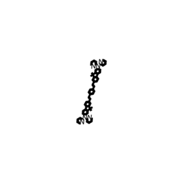 CC1(C)c2cc(/C=C/c3ccc(/C=C/c4ccc5c(c4)C(C)(C)c4cc(N(c6ccccn6)c6ccccn6)ccc4-5)cc3)ccc2-c2ccc(N(c3ccccn3)c3ccccn3)cc21